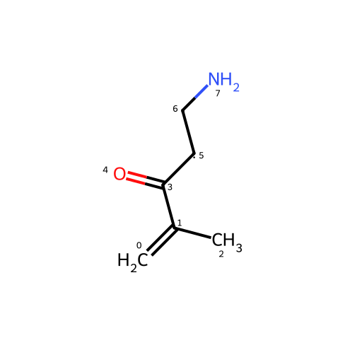 C=C(C)C(=O)[CH]CN